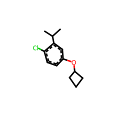 CC(C)c1cc(OC2CCC2)ccc1Cl